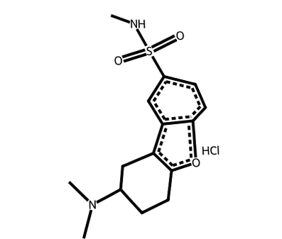 CNS(=O)(=O)c1ccc2oc3c(c2c1)CC(N(C)C)CC3.Cl